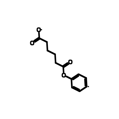 [O]C(=O)CCCCC(=O)Oc1cc[c]cc1